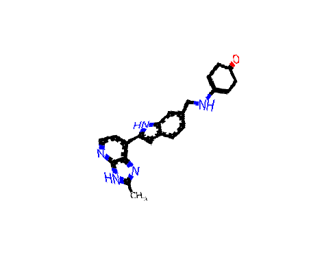 Cc1nc2c(-c3cc4ccc(CNC5CCC(=O)CC5)cc4[nH]3)ccnc2[nH]1